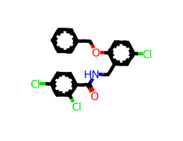 O=C(NCc1cc(Cl)ccc1OCc1ccccc1)c1ccc(Cl)cc1Cl